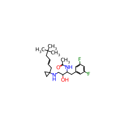 CC(=O)NC(Cc1cc(F)cc(F)c1)C(O)CNC1(CC=CCC(C)(C)C)CC1